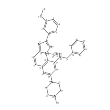 COc1cccc(C2=N[N+]3(C#N)C(=N2)C=Cc2cc(N4CCN(C)CC4)cc(NCc4ccccc4)c23)c1